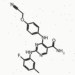 Cc1ccc(F)c(Nc2ncc(C(N)=O)c(Nc3ccc(OCC#N)cc3)n2)c1